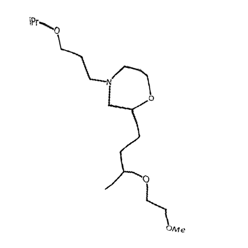 COCCOC(C)CCC1CN(CCCOC(C)C)CCO1